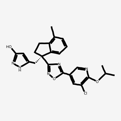 Cc1cccc2c1CC[C@]2(Cc1cc(O)n[nH]1)c1noc(-c2cnc(OC(C)C)c(Cl)c2)n1